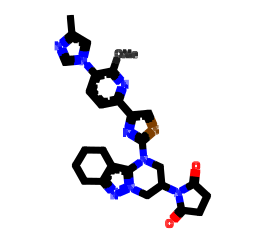 COc1nc(-c2csc(N3CC(N4C(=O)CCC4=O)Cn4nc5c(c43)CCCC5)n2)ccc1-n1cnc(C)c1